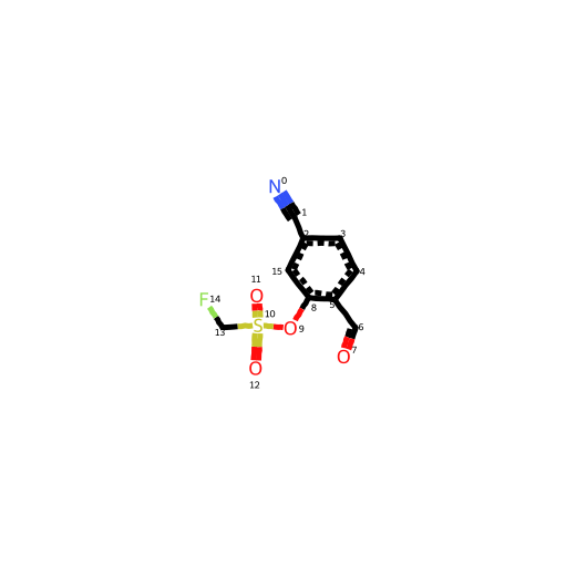 N#Cc1ccc(C=O)c(OS(=O)(=O)CF)c1